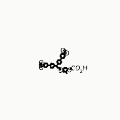 Cc1cc(OCC=C(c2ccc(-c3ccc(S(C)(=O)=O)cc3)cc2)c2ccc(-c3ccc(S(C)(=O)=O)cc3)cc2)ccc1OCC(=O)O